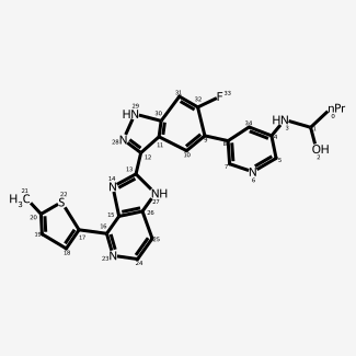 CCCC(O)Nc1cncc(-c2cc3c(-c4nc5c(-c6ccc(C)s6)nccc5[nH]4)n[nH]c3cc2F)c1